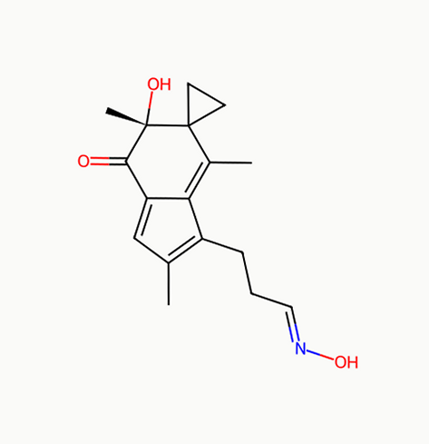 CC1=C(CCC=NO)C2=C(C)C3(CC3)[C@@](C)(O)C(=O)C2=C1